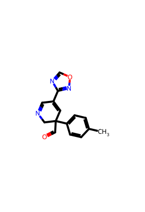 Cc1ccc(C2(C=O)C=C(c3ncon3)C=NC2)cc1